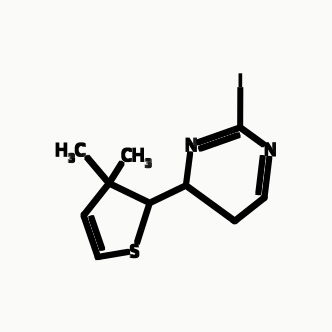 CC1(C)C=CSC1C1CC=NC(I)=N1